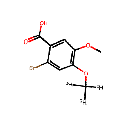 [2H]C([2H])([2H])Oc1cc(Br)c(C(=O)O)cc1OC